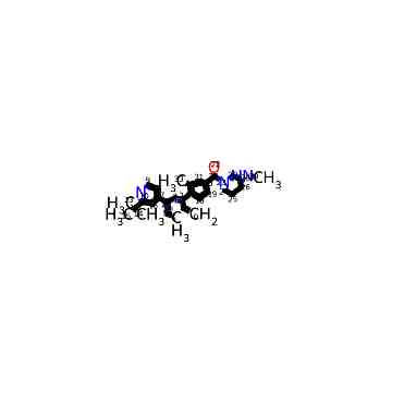 C=C/C(=C\C(=C/C)c1ccnc(C(C)(C)C)c1)c1ccc(C(=O)N2CCCC(NC)C2)cc1C